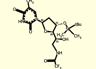 Cc1cn([C@H]2C[C@H](O[Si](C)(C)C(C)(C)C)[C@@H]([C@@H](O)CNC(=O)C(F)(F)F)O2)c(=O)[nH]c1=O